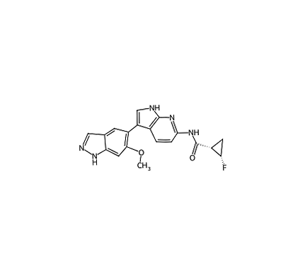 COc1cc2[nH]ncc2cc1-c1c[nH]c2nc(NC(=O)[C@@H]3C[C@@H]3F)ccc12